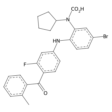 Cc1ccccc1C(=O)c1ccc(Nc2ccc(Br)cc2N(C(=O)O)C2CCCC2)cc1F